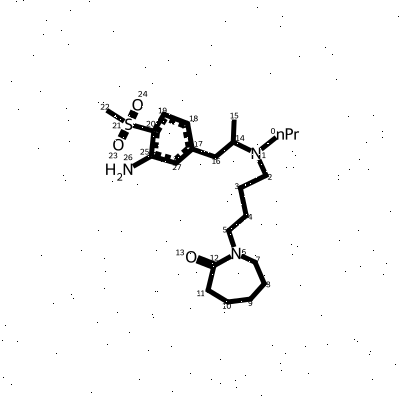 CCCN(CCCCN1CCCCCC1=O)C(C)Cc1ccc(S(C)(=O)=O)c(N)c1